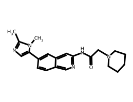 Cc1ncc(-c2ccc3cnc(NC(=O)CN4CCCCC4)cc3c2)n1C